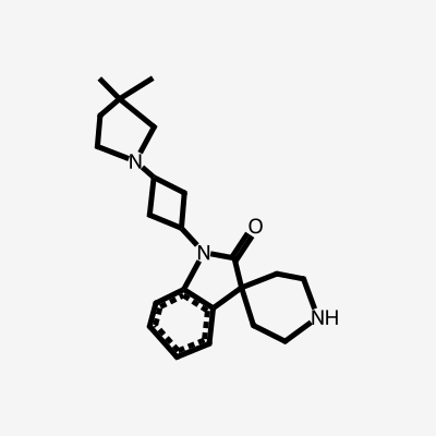 CC1(C)CCN(C2CC(N3C(=O)C4(CCNCC4)c4ccccc43)C2)C1